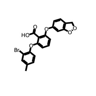 Cc1ccc(Oc2cccc(Oc3ccc4c(c3)OOC4)c2C(=O)O)c(Br)c1